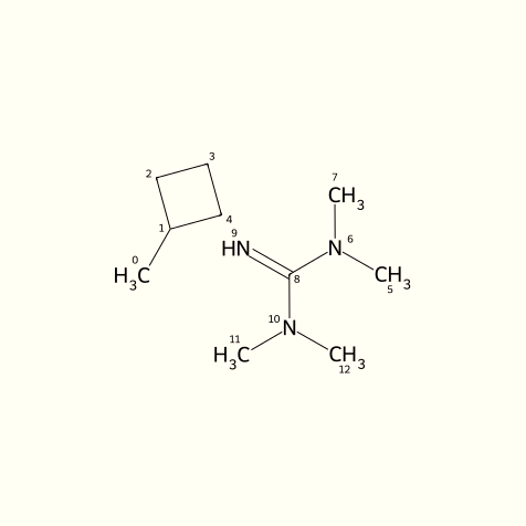 CC1CCC1.CN(C)C(=N)N(C)C